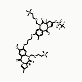 COc1cc2c(cc1OCCCOc1cc3c(cc1C)C(=O)N1C=C(OS(=O)(=O)C(F)(F)F)C[C@H]1C(=O)N3COCC[Si](C)(C)C)N(COCC[Si](C)(C)C)C(=O)[C@@H]1CC(C)=CN1C2=O